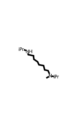 CC(C)NCCCCCCCCN(C)C(C)C